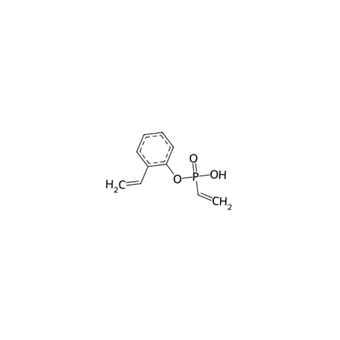 C=Cc1ccccc1OP(=O)(O)C=C